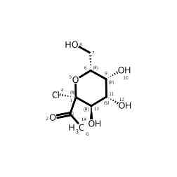 CC(=O)[C@@]1(Cl)O[C@H](CO)[C@H](O)[C@H](O)[C@H]1O